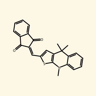 CN1c2ccccc2C(C)(C)c2cc(C=C3C(=O)c4ccccc4C3=O)sc21